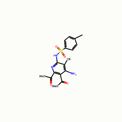 COC(=O)c1nc(NS(=O)(=O)c2ccc(C)cc2)c(C#N)c(N)c1C(=O)OC